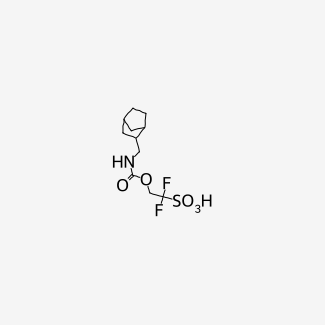 O=C(NCC1CC2CCC1C2)OCC(F)(F)S(=O)(=O)O